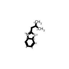 CC(C)CC1=NC2C=CC=CC2S1